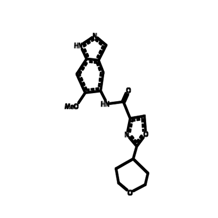 COc1cc2[nH]ncc2cc1NC(=O)c1coc(C2CCOCC2)n1